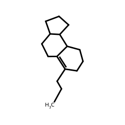 CCCC1=C2CCC3CCCC3C2CCC1